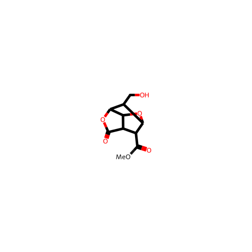 COC(=O)C1C2OC3C(OC(=O)C31)C2CO